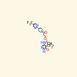 CC(COCCC(=O)N1CC=C(c2ncc(C(F)(F)F)cn2)CC1)Nc1cn[nH]c(=O)c1C(F)(F)F